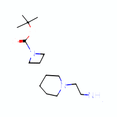 CC(C)(C)OC(=O)N1CC([C@H]2CCCN(CCN)C2)C1